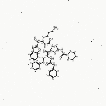 NCCCC[C@H](NC(=O)[C@@H]1C[C@@H](OC(=O)N2CCCCC2)CN1C(=O)[C@@H](CCc1ccccc1)NC(=O)Nc1ccccc1)C(=O)c1nc2ccccc2o1